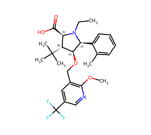 CCN1[C@H](C(=O)O)[C@@H](C(C)(C)C)[C@H](OCc2cc(C(F)(F)F)cnc2OC)[C@@H]1c1ccccc1C